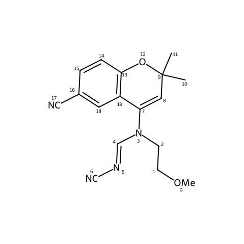 COCCN(C=NC#N)C1=CC(C)(C)Oc2ccc(C#N)cc21